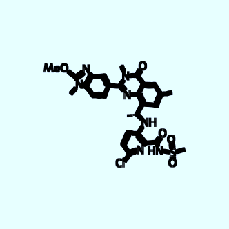 COc1nc2cc(-c3nc4c([C@@H](C)Nc5ccc(Cl)nc5C(=O)NS(C)(=O)=O)cc(C)cc4c(=O)n3C)ccc2n1C